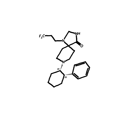 O=C1NCN(CCC(F)(F)F)C12CCN([C@H]1CCCC[C@H]1c1ccccc1)CC2